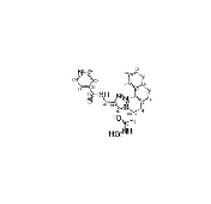 O=C(C[C@@H](Cc1ccc2ccccc2c1)n1cc(CNC(=O)c2ccncc2)nn1)NO